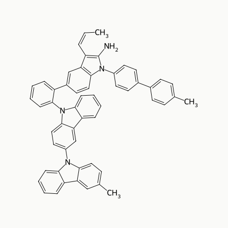 C/C=C\c1c(N)n(-c2ccc(-c3ccc(C)cc3)cc2)c2ccc(-c3ccccc3-n3c4ccccc4c4cc(-n5c6ccccc6c6cc(C)ccc65)ccc43)cc12